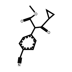 COC(=O)C(C(=O)C1CC1)c1ccc(C#N)cc1